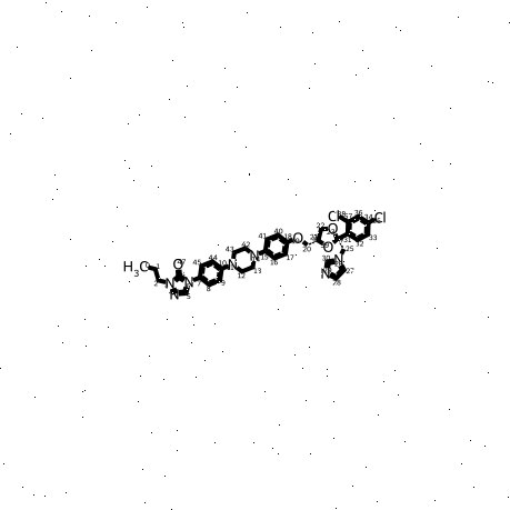 CCCn1ncn(-c2ccc(N3CCN(c4ccc(OC[C@@H]5CO[C@@](Cn6ccnc6)(c6ccc(Cl)cc6Cl)O5)cc4)CC3)cc2)c1=O